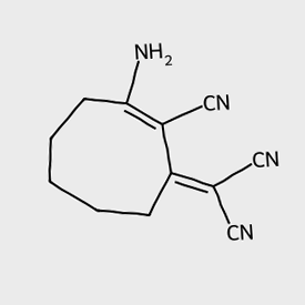 N#CC(C#N)=C1CCCCC/C(N)=C\1C#N